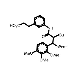 CCCCCC(c1ccc(OC)c(OC)c1OC)C(C(=O)Nc1cccc(CCC(=O)O)c1)C(C)(C)C